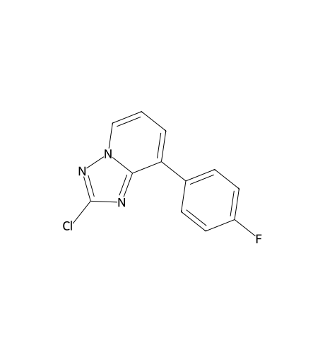 Fc1ccc(-c2cccn3nc(Cl)nc23)cc1